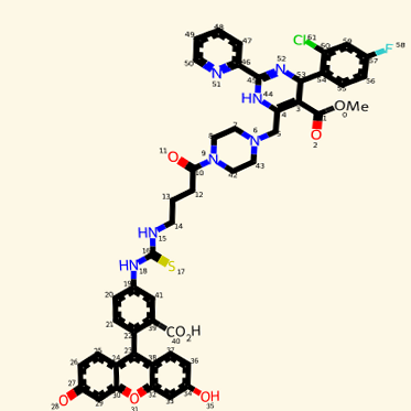 COC(=O)C1=C(CN2CCN(C(=O)CCCNC(=S)Nc3ccc(-c4c5ccc(=O)cc-5oc5cc(O)ccc45)c(C(=O)O)c3)CC2)NC(c2ccccn2)=NC1c1ccc(F)cc1Cl